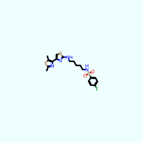 Cc1nc(-c2csc(NCCCCCNS(=O)(=O)c3ccc(F)cc3)n2)c(C)s1